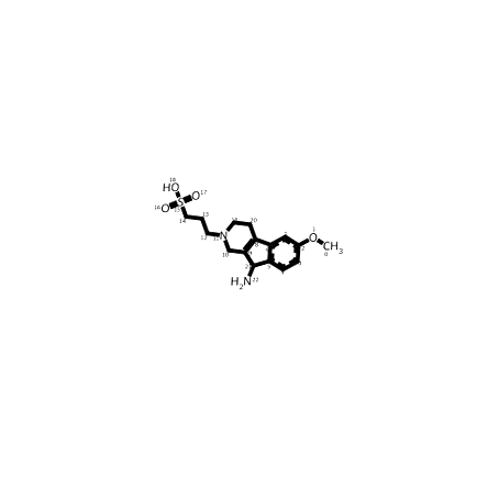 COc1ccc2c(c1)C1=C(CN(CCCS(=O)(=O)O)CC1)C2N